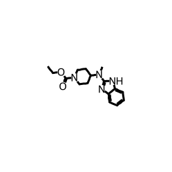 CCOC(=O)N1CCC(N(C)c2nc3ccccc3[nH]2)CC1